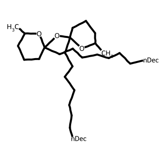 CCCCCCCCCCCCCCCCCC1(OC2(CCCCCCCCCCCCCCCCC)CCCC(C)O2)CCCC(C)O1